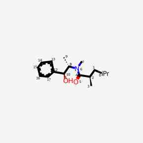 CC(C)C[C@@H](C)C(=O)N(C)[C@@H](C)[C@@H](O)c1ccccc1